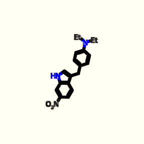 CCN(CC)c1ccc(Cc2c[nH]c3cc([N+](=O)[O-])ccc23)cc1